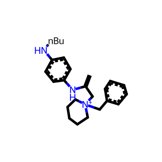 C=C(C[N+]1(Cc2ccccc2)CCCCC1)Nc1ccc(NCCCC)cc1